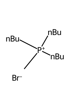 CCCC[P+](C)(CCCC)CCCC.[Br-]